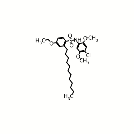 CCCCCCCCCCCCc1cc(OCC)ccc1S(=O)(=O)Nc1cc(OC)c(Cl)cc1OC